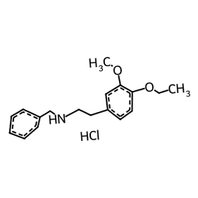 CCOc1ccc(CCNCc2ccccc2)cc1OC.Cl